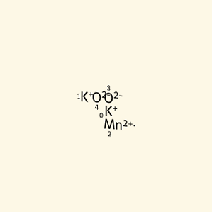 [K+].[K+].[Mn+2].[O-2].[O-2]